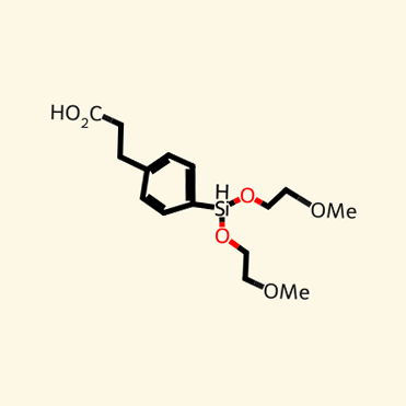 COCCO[SiH](OCCOC)c1ccc(CCC(=O)O)cc1